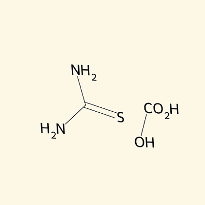 NC(N)=S.O=C(O)O